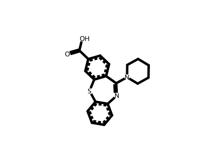 O=C(O)c1ccc2c(c1)Sc1ccccc1N=C2N1CCCCC1